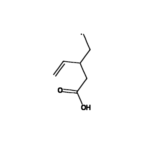 [CH2]CC(C=C)CC(=O)O